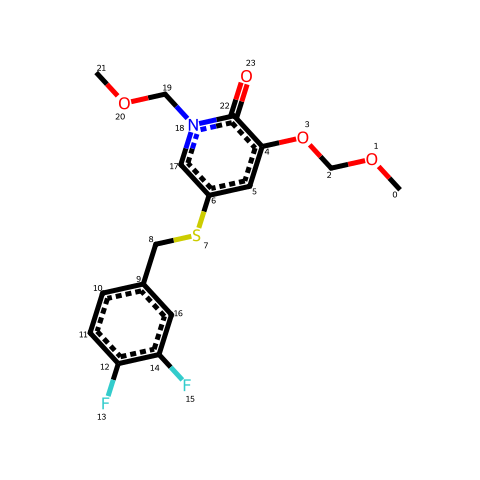 COCOc1cc(SCc2ccc(F)c(F)c2)cn(COC)c1=O